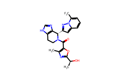 Cc1nc([C@H](C)O)oc1C(=O)N1CCc2[nH]cnc2[C@@H]1c1cc2cccc(C(F)(F)F)n2n1